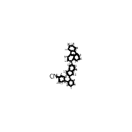 [C-]#[N+]c1ccc(-c2ccccc2-c2ccc3cc(-c4ccc5c6c(cccc46)-c4ccccc4-5)ccc3c2)cc1